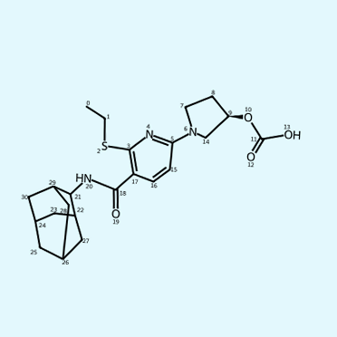 CCSc1nc(N2CC[C@@H](OC(=O)O)C2)ccc1C(=O)NC1C2CC3CC(C2)CC1C3